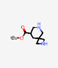 CC(C)(C)OC(=O)C1CNCC2(CNC2)C1